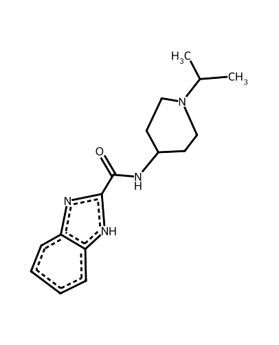 CC(C)N1CCC(NC(=O)c2nc3ccccc3[nH]2)CC1